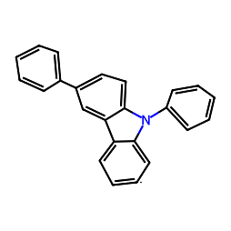 [c]1ccc2c3cc(-c4ccccc4)ccc3n(-c3ccccc3)c2c1